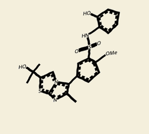 COc1ccc(-c2c(C)nc3sc(C(C)(C)O)cn23)cc1S(=O)(=O)Nc1ccccc1O